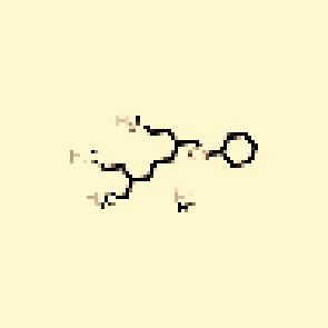 CCCC(CC)CCCC(CCC)[CH2][Ga][CH]1CCCCC1.[H-].[H-]